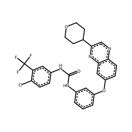 O=C(Nc1cccc(Oc2ccc3ncc(C4CCOCC4)nc3c2)c1)Nc1ccc(Cl)c(C(F)(F)F)c1